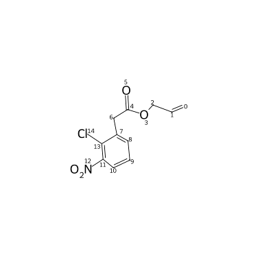 C=CCOC(=O)Cc1cccc([N+](=O)[O-])c1Cl